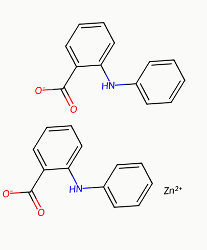 O=C([O-])c1ccccc1Nc1ccccc1.O=C([O-])c1ccccc1Nc1ccccc1.[Zn+2]